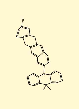 CC1(C)c2ccccc2N(c2ccc3cc4c(cc3c2)Cc2ccc(Br)cc2C4)c2ccccc21